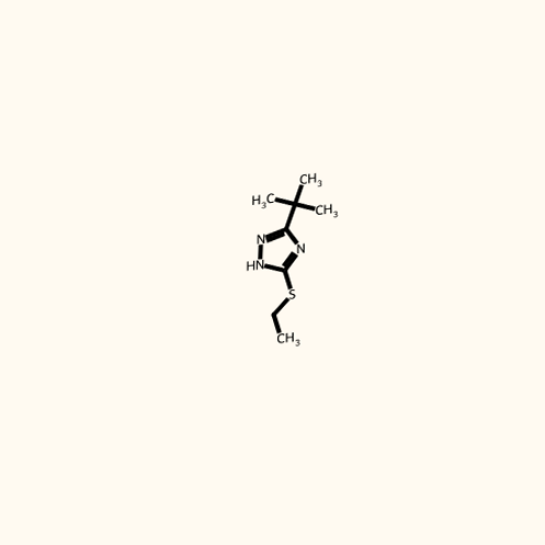 CCSc1nc(C(C)(C)C)n[nH]1